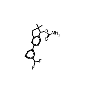 CC1(C)CCc2cc(-c3cccc(C(F)F)c3)ccc2C1OC(N)=O